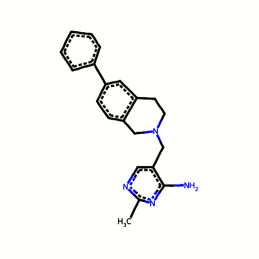 Cc1ncc(CN2CCc3cc(-c4ccccc4)ccc3C2)c(N)n1